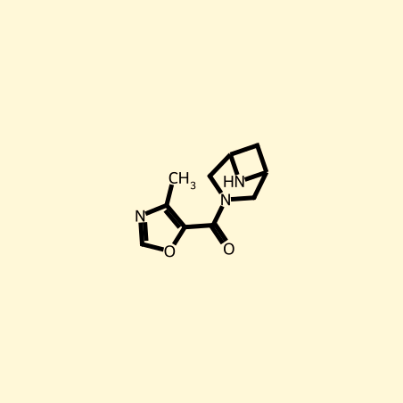 Cc1ncoc1C(=O)N1CC2CC(C1)N2